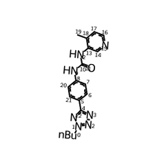 CCCCn1nnc(-c2ccc(NC(=O)Nc3cnccc3C)cc2)n1